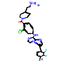 CCc1ccc(-c2cnc3c(Nc4ccc(C(=O)N5CCC(CCN)CC5)c(Cl)c4)nccn23)c(F)c1F